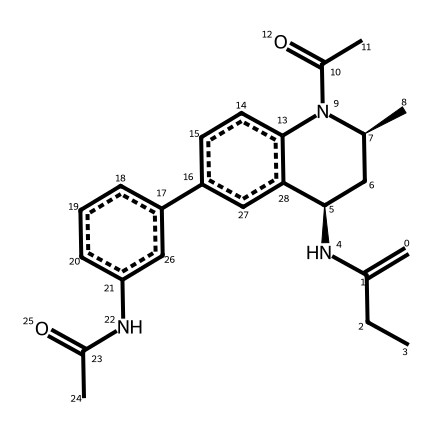 C=C(CC)N[C@@H]1C[C@H](C)N(C(C)=O)c2ccc(-c3cccc(NC(C)=O)c3)cc21